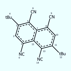 [C-]#[N+]c1cc(C(C)(C)C)c(C#N)c2c(C#N)cc(C(C)(C)C)c([N+]#[C-])c12